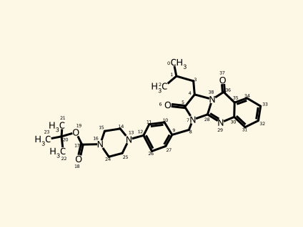 CC(C)CC1C(=O)N(Cc2ccc(N3CCN(C(=O)OC(C)(C)C)CC3)cc2)c2nc3ccccc3c(=O)n21